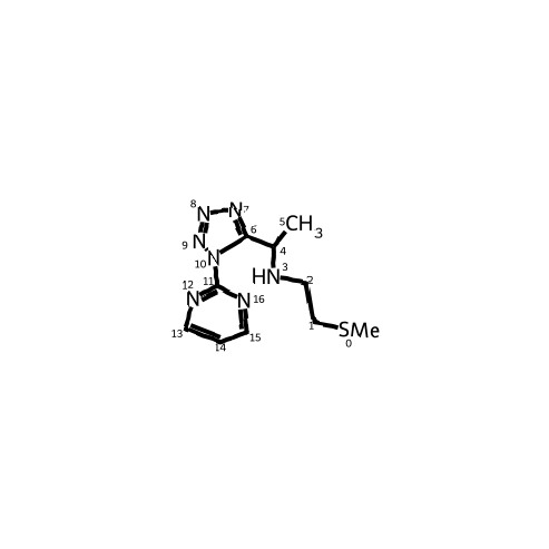 CSCCNC(C)c1nnnn1-c1ncccn1